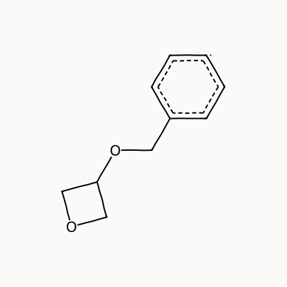 [c]1ccc(COC2COC2)cc1